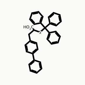 O=C(O)C(Cc1ccc(-c2ccccc2)cc1)SC(c1ccccc1)(c1ccccc1)c1ccccc1